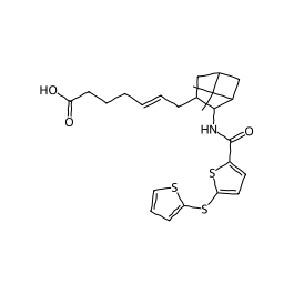 CC1(C)C2CC(CC=CCCCC(=O)O)C(NC(=O)c3ccc(Sc4cccs4)s3)C1C2